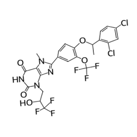 CC(Oc1ccc(-c2nc3c(c(=O)[nH]c(=O)n3CC(O)C(F)(F)F)n2C)cc1OC(F)(F)F)c1ccc(Cl)cc1Cl